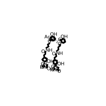 CC(=O)c1c(O)cccc1OCCCCNC(=O)CCc1ccc(N2CC(=O)NS2(=O)=O)c(O)c1.O=C(CCc1ccc(N2CC(=O)NS2(=O)=O)c(O)c1)NCCCCOc1cccc(O)c1C(=O)O